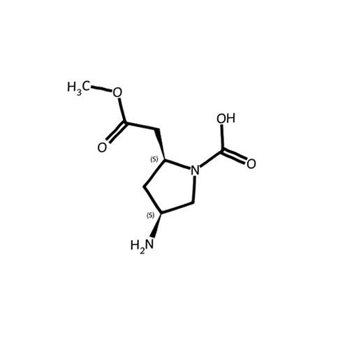 COC(=O)C[C@@H]1C[C@H](N)CN1C(=O)O